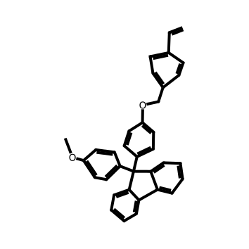 C=Cc1ccc(COc2ccc(C3(c4ccc(OC)cc4)c4ccccc4-c4ccccc43)cc2)cc1